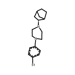 CCc1ccc(N2CCN([C@H]3CC4CCC3C4)CC2)cc1